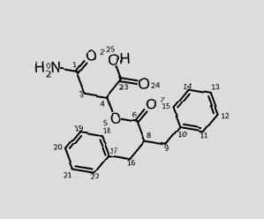 NC(=O)CC(OC(=O)C(Cc1ccccc1)Cc1ccccc1)C(=O)O